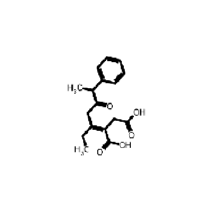 CCC(CC(=O)C(C)c1ccccc1)=C(CC(=O)O)C(=O)O